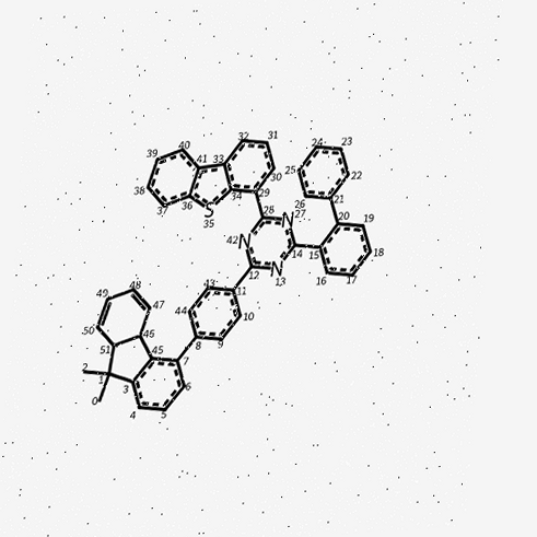 CC1(C)c2cccc(-c3ccc(-c4nc(-c5ccccc5-c5ccccc5)nc(-c5cccc6c5sc5ccccc56)n4)cc3)c2C2C=CC=CC21